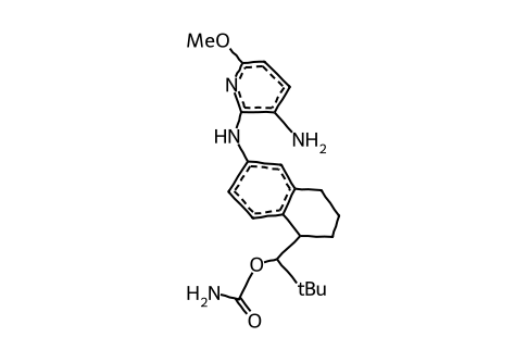 COc1ccc(N)c(Nc2ccc3c(c2)CCCC3C(OC(N)=O)C(C)(C)C)n1